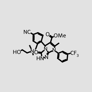 COC(=O)C1=C(C)N(c2cccc(C(F)(F)F)c2)c2n[nH]c(=O)n2C1c1ccc(C#N)cc1C[N+](C)(C)CCO